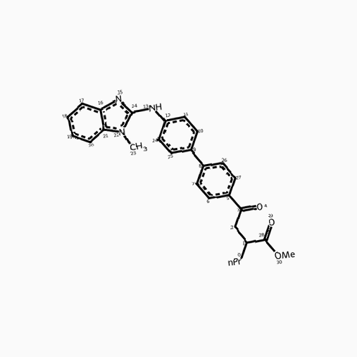 CCCC(CC(=O)c1ccc(-c2ccc(Nc3nc4ccccc4n3C)cc2)cc1)C(=O)OC